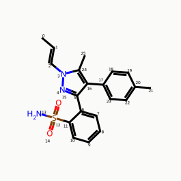 CC=Cn1nc(-c2ccccc2S(N)(=O)=O)c(-c2ccc(C)cc2)c1C